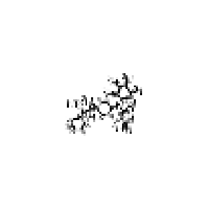 [2H]c1c([2H])c([2H])c(N(C(=O)CC([2H])([2H])[2H])C2CCN(C([2H])([2H])C(O)c3ccccc3)CC2)c([2H])c1[2H]